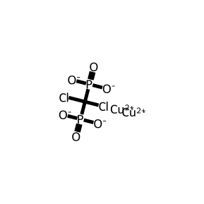 O=P([O-])([O-])C(Cl)(Cl)P(=O)([O-])[O-].[Cu+2].[Cu+2]